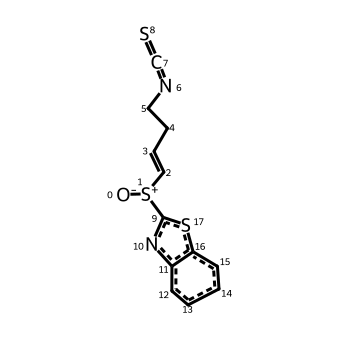 [O-][S+](C=CCCN=C=S)c1nc2ccccc2s1